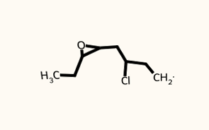 [CH2]CC(Cl)CC1OC1CC